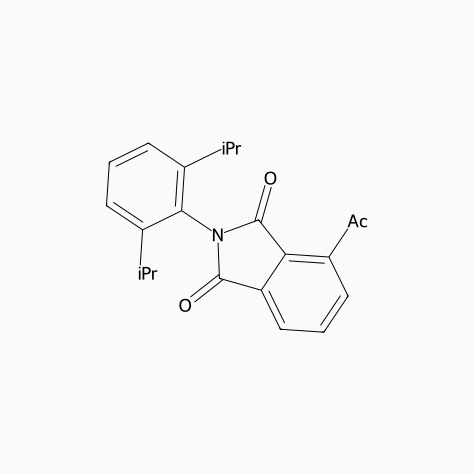 CC(=O)c1cccc2c1C(=O)N(c1c(C(C)C)cccc1C(C)C)C2=O